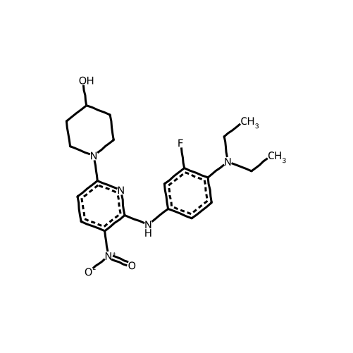 CCN(CC)c1ccc(Nc2nc(N3CCC(O)CC3)ccc2[N+](=O)[O-])cc1F